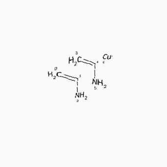 C=CN.C=CN.[Cu]